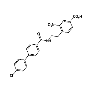 O=C(O)c1ccc(CCNC(=O)c2ccc(-c3ccc(Cl)cc3)cc2)c([N+](=O)[O-])c1